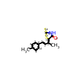 CC(C=Cc1ccc(C)cc1)=C1SC(=S)NC1=O